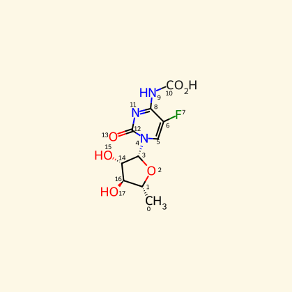 C[C@H]1O[C@@H](n2cc(F)c(NC(=O)O)nc2=O)[C@@H](O)[C@@H]1O